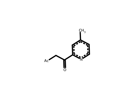 CC(=O)CC(=O)c1cc(C)ccn1